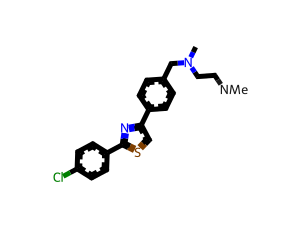 CNCCN(C)Cc1ccc(-c2csc(-c3ccc(Cl)cc3)n2)cc1